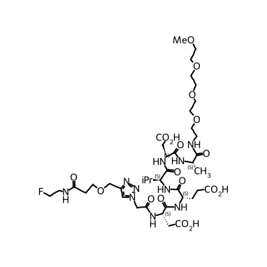 COCCOCCOCCOCCNC(=O)[C@H](C)NC(=O)[C@H](CC(=O)O)NC(=O)[C@@H](NC(=O)[C@H](CCC(=O)O)NC(=O)[C@H](CC(=O)O)NC(=O)Cn1cc(COCCC(=O)NCCF)nn1)C(C)C